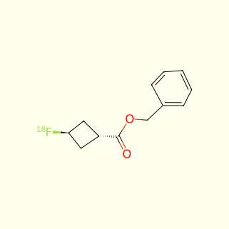 O=C(OCc1ccccc1)[C@H]1C[C@H]([18F])C1